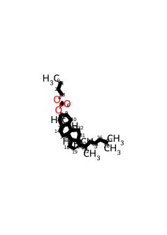 CCCCOC(=O)OC1CC[C@@]2(C)C(=CC[C@H]3[C@@H]4CC[C@H]([C@H](C)CCCC(C)C)[C@@]4(C)CC[C@@H]32)C1